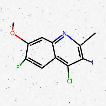 COc1cc2nc(C)c(I)c(Cl)c2cc1F